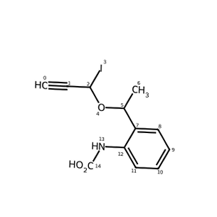 C#CC(I)OC(C)c1ccccc1NC(=O)O